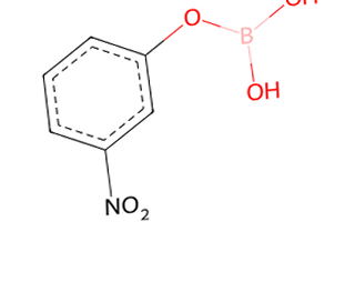 O=[N+]([O-])c1cccc(OB(O)O)c1